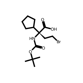 CC(C)(C)OC(=O)N[C@@](CCBr)(C(=O)O)C1CCCC1